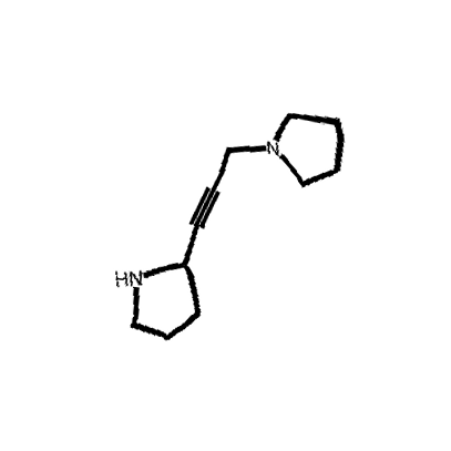 C(#CC1CCCN1)CN1CCCC1